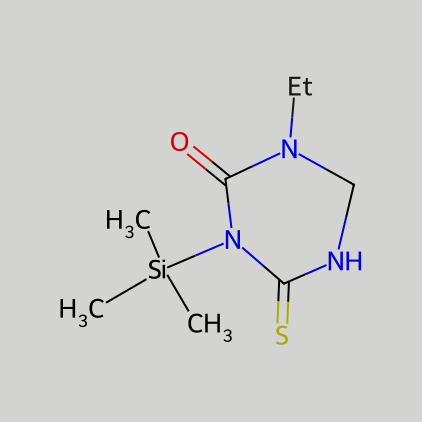 CCN1CNC(=S)N([Si](C)(C)C)C1=O